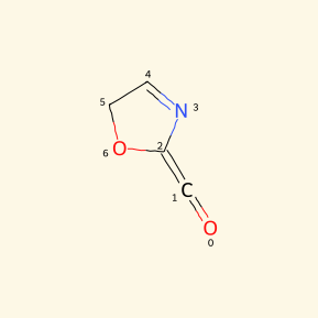 O=C=C1N=CCO1